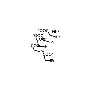 CC(C)CC(=O)[O-].CC(C)CC(=O)[O-].CC(C)CC(=O)[O-].CC(C)CC(=O)[O-].CC(C)CC(=O)[O-].[Nb+5]